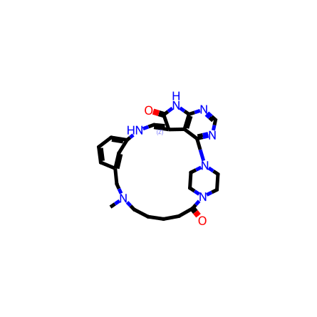 CN1CCCCC(=O)N2CCN(CC2)c2ncnc3c2/C(=C/Nc2cccc(c2)C1)C(=O)N3